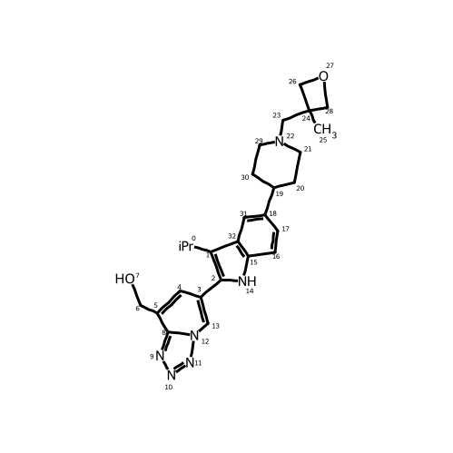 CC(C)c1c(-c2cc(CO)c3nnnn3c2)[nH]c2ccc(C3CCN(CC4(C)COC4)CC3)cc12